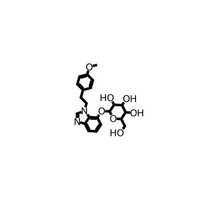 COc1ccc(CCn2cnc3cccc(OC4OC(CO)C(O)C(O)C4O)c32)cc1